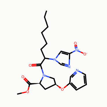 CCCCCCC(C(=O)N1C[C@@H](Oc2cccnc2)C[C@H]1C(=O)OC)n1cnc([N+](=O)[O-])c1